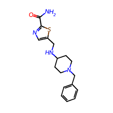 NC(=O)c1ncc(CNC2CCN(Cc3ccccc3)CC2)s1